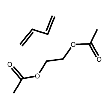 C=CC=C.CC(=O)OCCOC(C)=O